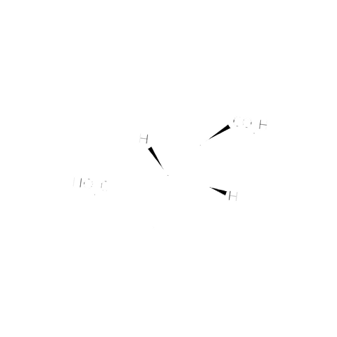 O=C(O)C1CC[C@H]2[C@H](C(=O)O)[C@@H]12